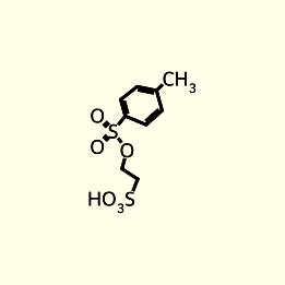 Cc1ccc(S(=O)(=O)OCCS(=O)(=O)O)cc1